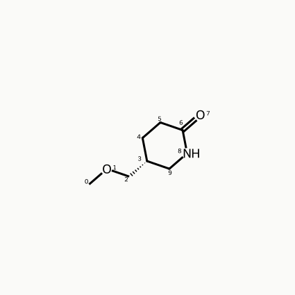 COC[C@@H]1CCC(=O)NC1